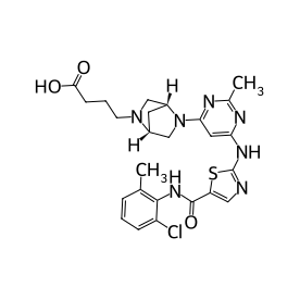 Cc1nc(Nc2ncc(C(=O)Nc3c(C)cccc3Cl)s2)cc(N2C[C@H]3C[C@@H]2CN3CCCC(=O)O)n1